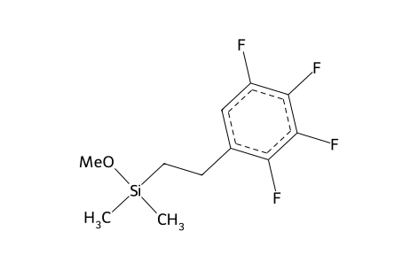 CO[Si](C)(C)CCc1cc(F)c(F)c(F)c1F